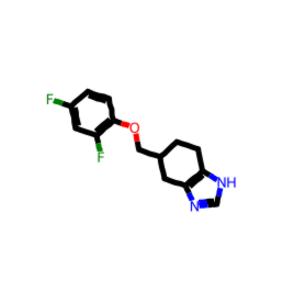 Fc1ccc(OCC2CCc3[nH]cnc3C2)c(F)c1